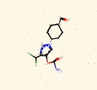 NC(=O)Oc1cn([C@H]2CC[C@H](C=O)CC2)nc1C(F)F